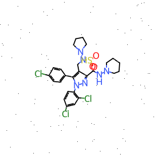 O=C(NN1CCCCC1)c1nn(-c2ccc(Cl)cc2Cl)c(-c2ccc(Cl)cc2)c1CN(N1CCCC1)[SH](=O)=O